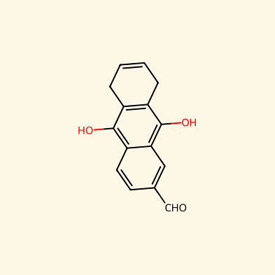 O=Cc1ccc2c(O)c3c(c(O)c2c1)CC=CC3